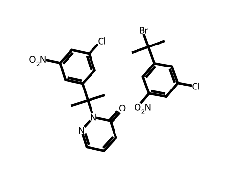 CC(C)(Br)c1cc(Cl)cc([N+](=O)[O-])c1.CC(C)(c1cc(Cl)cc([N+](=O)[O-])c1)n1ncccc1=O